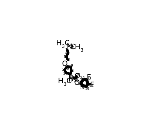 CN(C)CCCCOC1CCC(N(C)C(=O)Oc2ccc(F)c(F)c2)CC1